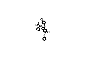 O=C(O)/C(=C/c1sc2cc(OCc3ccccc3)c(O)cc2c1Oc1ccc(Cl)cc1)c1ccncc1